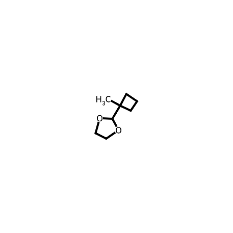 CC1(C2OCCO2)CCC1